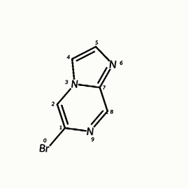 Brc1cn2ccnc2[c]n1